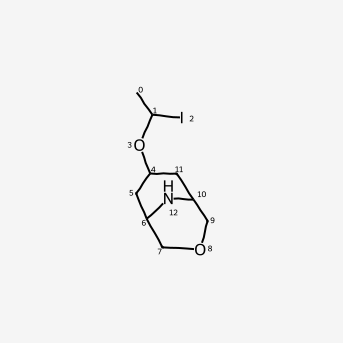 CC(I)OC1CC2COCC(C1)N2